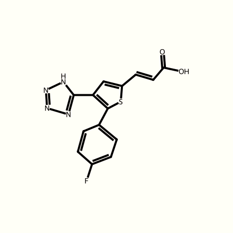 O=C(O)C=Cc1cc(-c2nnn[nH]2)c(-c2ccc(F)cc2)s1